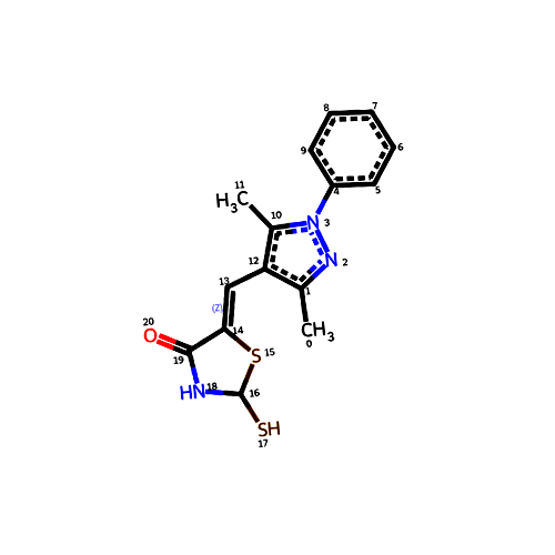 Cc1nn(-c2ccccc2)c(C)c1/C=C1\SC(S)NC1=O